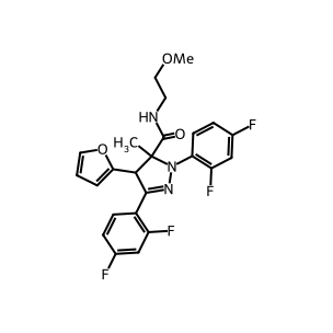 COCCNC(=O)C1(C)C(c2ccco2)C(c2ccc(F)cc2F)=NN1c1ccc(F)cc1F